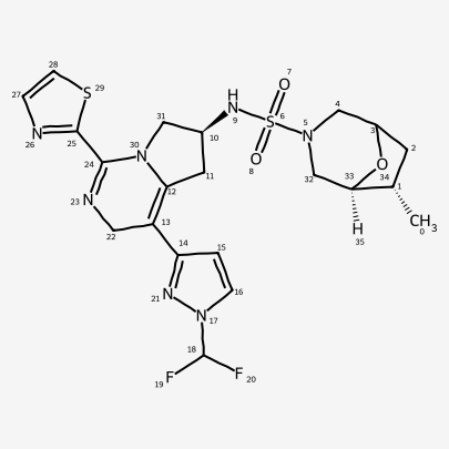 C[C@H]1CC2CN(S(=O)(=O)N[C@H]3CC4=C(c5ccn(C(F)F)n5)CN=C(c5nccs5)N4C3)C[C@H]1O2